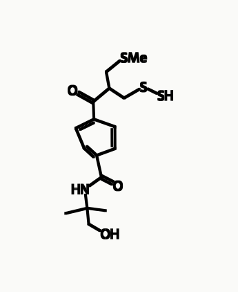 CSCC(CSS)C(=O)c1ccc(C(=O)NC(C)(C)CO)cc1